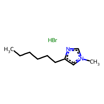 Br.CCCCCCc1cn(C)cn1